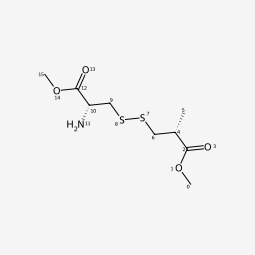 COC(=O)[C@@H](C)CSSC[C@H](N)C(=O)OC